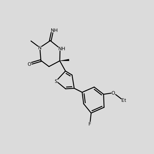 CCOc1cc(F)cc(-c2csc([C@]3(C)CC(=O)N(C)C(=N)N3)c2)c1